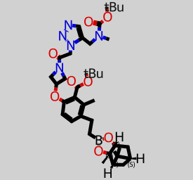 Cc1c(CCB2O[C@@H]3C[C@@H]4C[C@@H](C4(C)C)[C@]3(C)O2)ccc(OC2CN(C(=O)Cn3nncc3CN(C)C(=O)OC(C)(C)C)C2)c1C(=O)OC(C)(C)C